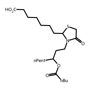 CCCCCC(CCN1C(=O)CSC1CCCCCCC(=O)O)OC(=O)CCCC